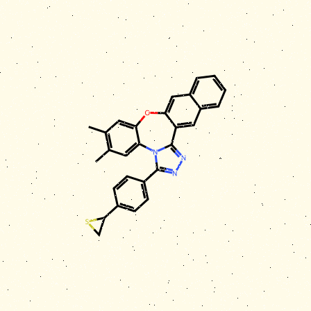 Cc1cc2c(cc1C)-n1c(-c3ccc(C4CS4)cc3)nnc1-c1cc3ccccc3cc1O2